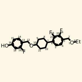 CCOCc1ccc(C2CCC(OCc3ccc(O)cc3F)CC2)c(F)c1F